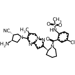 Cc1cn2nc([C@@H]3CCCCN3C(=O)c3cc(Cl)ccc3NS(C)(=O)=O)cc2nc1N1C[C@@H](N)[C@H](C#N)C1